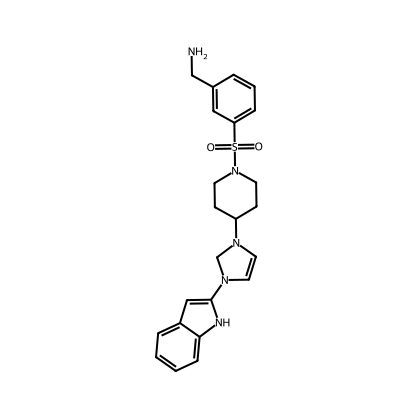 NCc1cccc(S(=O)(=O)N2CCC(N3C=CN(c4cc5ccccc5[nH]4)C3)CC2)c1